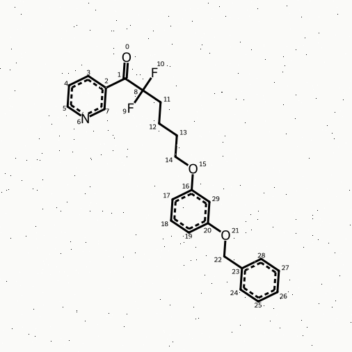 O=C(c1cccnc1)C(F)(F)CCCCOc1cccc(OCc2ccccc2)c1